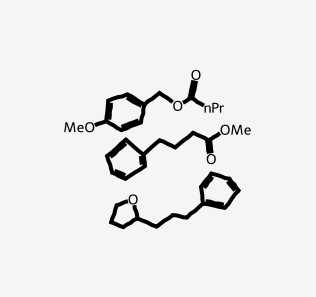 CCCC(=O)OCc1ccc(OC)cc1.COC(=O)CCCc1ccccc1.c1ccc(CCCC2CCCO2)cc1